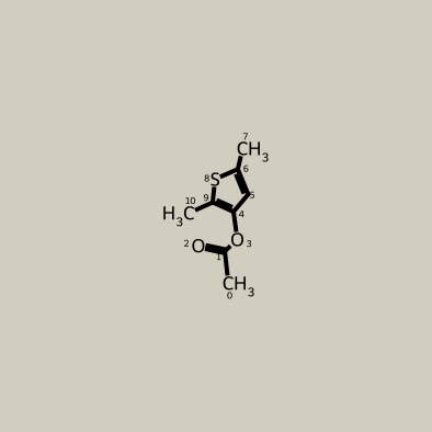 CC(=O)Oc1cc(C)sc1C